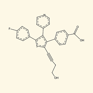 O=C(O)c1ccc(-c2c(C#CCCO)sc(-c3ccc(F)cc3)c2-c2ccncc2)cc1